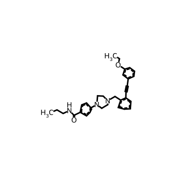 CCCNC(=O)c1ccc(N2CCN(Cc3ccccc3C#Cc3cccc(OCC)c3)CC2)cc1